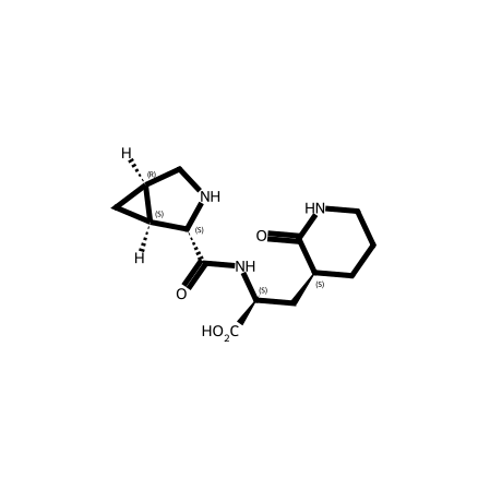 O=C1NCCC[C@H]1C[C@H](NC(=O)[C@H]1NC[C@@H]2C[C@@H]21)C(=O)O